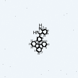 N=C(c1ccc(C2(C3=CC=CCC3)C3=C(C=CCC3)C3C=CCCC32)cc1)c1ccccc1N